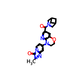 Cn1nc2cc(N3CCOc4cc(C(=O)N5CC6CC(C6)C5)cnc43)ccn2c1=O